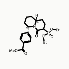 CCOP(=O)(OCC)C1CC[C@H]2CCC[C@@H](c3ccc(C(=O)OC)cc3)N2C1=O